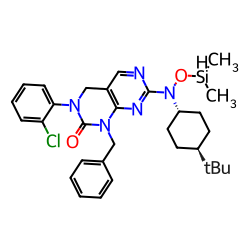 C[SiH](C)ON(c1ncc2c(n1)N(Cc1ccccc1)C(=O)N(c1ccccc1Cl)C2)[C@H]1CC[C@H](C(C)(C)C)CC1